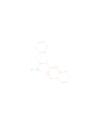 CC(N)C(Cc1ccccc1)C1OCc2ccccc2O1